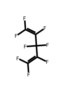 FC(F)=C(F)C(F)(F)C(F)=C(F)F